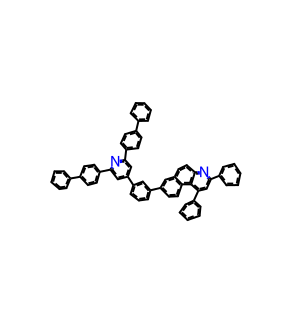 c1ccc(-c2ccc(-c3cc(-c4cccc(-c5ccc6c(ccc7nc(-c8ccccc8)cc(-c8ccccc8)c76)c5)c4)cc(-c4ccc(-c5ccccc5)cc4)n3)cc2)cc1